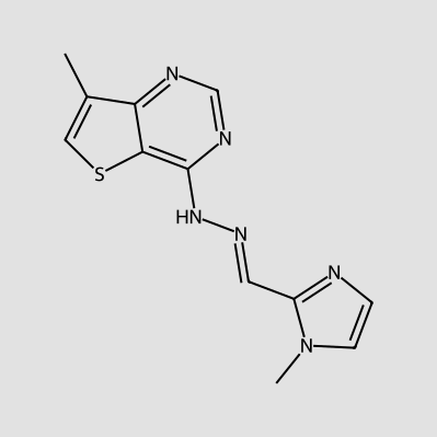 Cc1csc2c(NN=Cc3nccn3C)ncnc12